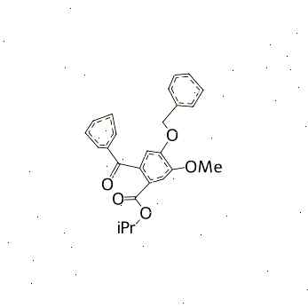 COc1cc(C(=O)OC(C)C)c(C(=O)c2ccccc2)cc1OCc1ccccc1